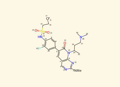 CNc1ncc2cc(-c3ccc(NS(=O)(=O)CCC(F)(F)F)c(F)c3)c(=O)n(C(C)CCN(C)C)c2n1